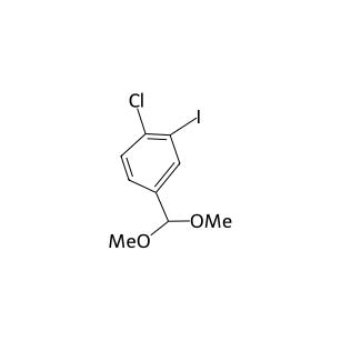 COC(OC)c1ccc(Cl)c(I)c1